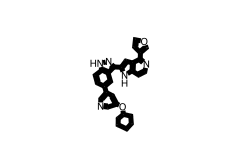 c1cc2[nH]c(-c3n[nH]c4ccc(-c5cncc(OC6CCCCC6)c5)cc34)cc2c(-c2ccoc2)n1